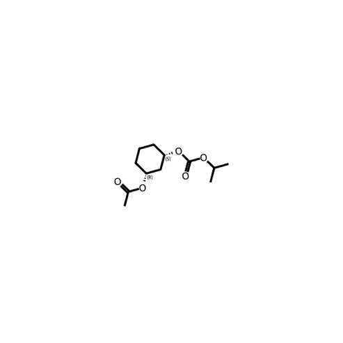 CC(=O)O[C@@H]1CCC[C@H](OC(=O)OC(C)C)C1